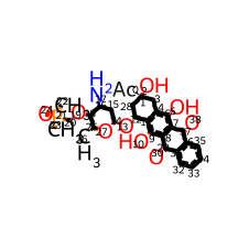 CC(=O)[C@]1(O)Cc2c(O)c3c(c(O)c2[C@@H](O[C@H]2C[C@H](N)[C@H](OCP(C)(C)=O)[C@H](C)O2)C1)C(=O)c1ccccc1C3=O